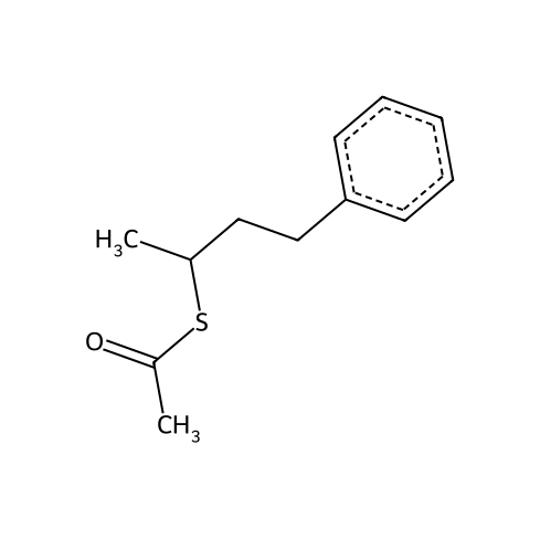 CC(=O)SC(C)CCc1ccccc1